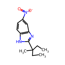 CCC(C)(CC)c1nc2cc([N+](=O)[O-])ccc2[nH]1